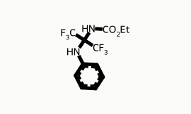 CCOC(=O)NC(Nc1ccccc1)(C(F)(F)F)C(F)(F)F